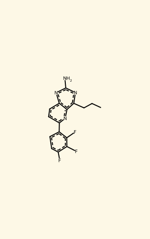 CCCc1nc(N)nc2ccc(-c3ccc(F)c(F)c3F)nc12